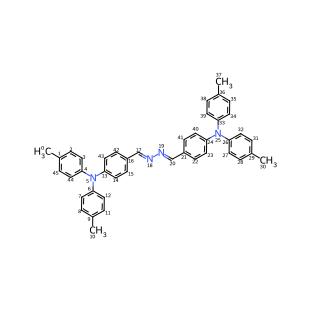 Cc1ccc(N(c2ccc(C)cc2)c2ccc(C=NN=Cc3ccc(N(c4ccc(C)cc4)c4ccc(C)cc4)cc3)cc2)cc1